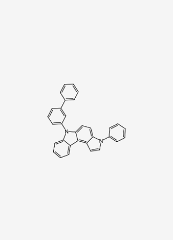 c1ccc(-c2cccc(-n3c4ccccc4c4c5ccn(-c6ccccc6)c5ccc43)c2)cc1